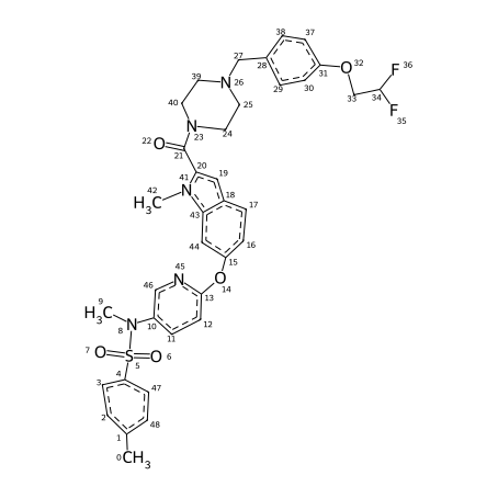 Cc1ccc(S(=O)(=O)N(C)c2ccc(Oc3ccc4cc(C(=O)N5CCN(Cc6ccc(OCC(F)F)cc6)CC5)n(C)c4c3)nc2)cc1